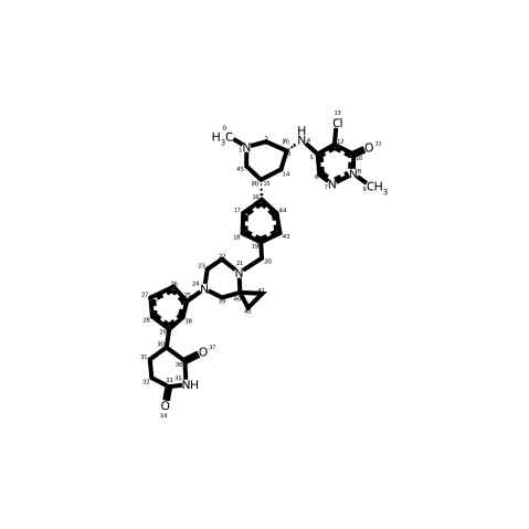 CN1C[C@H](Nc2cnn(C)c(=O)c2Cl)C[C@H](c2ccc(CN3CCN(c4cccc(C5CCC(=O)NC5=O)c4)CC34CC4)cc2)C1